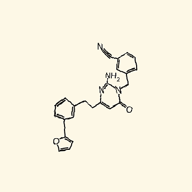 N#Cc1cccc(Cn2c(N)nc(CCc3cccc(-c4ccco4)c3)cc2=O)c1